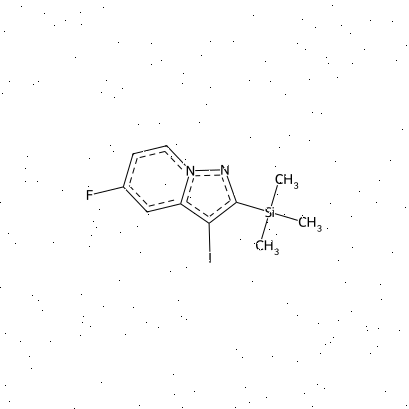 C[Si](C)(C)c1nn2ccc(F)cc2c1I